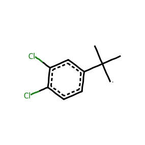 [CH2]C(C)(C)c1ccc(Cl)c(Cl)c1